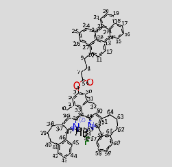 Cc1cc(OC(=O)CCCc2ccc3c4cccc5cccc(c6cccc2c63)c54)cc(C)c1/C(=C1\C=C2CCCc3ccccc3C2=N1)c1cc2c(n1BF)-c1ccccc1CCC2